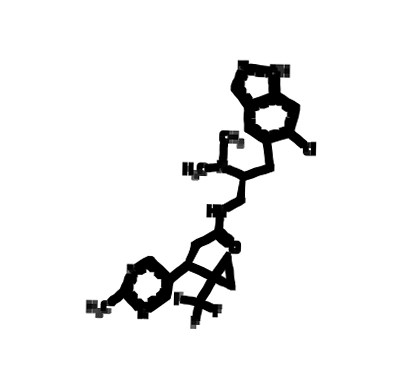 Cc1ncc([C@@H](CC(=O)NC[C@H](Cc2cc3cn[nH]c3cc2Cl)N(C)C)C2(C(F)(F)F)CC2)cn1